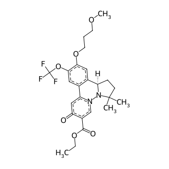 CCOC(=O)c1cn2c(cc1=O)-c1cc(OC(F)(F)F)c(OCCCOC)cc1[C@H]1CCC(C)(C)N12